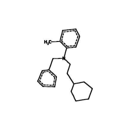 Cc1ccccc1N(CCC1CCCCC1)Cc1ccccc1